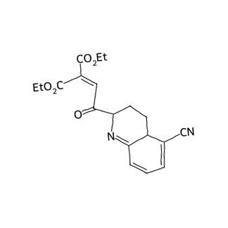 CCOC(=O)C(=CC(=O)C1CCC2C(C#N)=CC=CC2=N1)C(=O)OCC